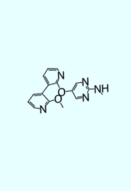 CNc1ncc(Oc2ncccc2-c2cccnc2OC)cn1